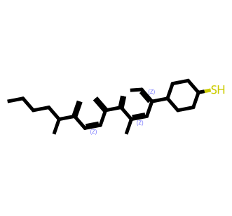 C=C(/C=C\C(=C)C(C)CCCC)C(=C)/C(C)=C\C(=C/C)C1CCC(S)CC1